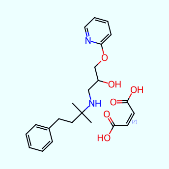 CC(C)(CCc1ccccc1)NCC(O)COc1ccccn1.O=C(O)/C=C\C(=O)O